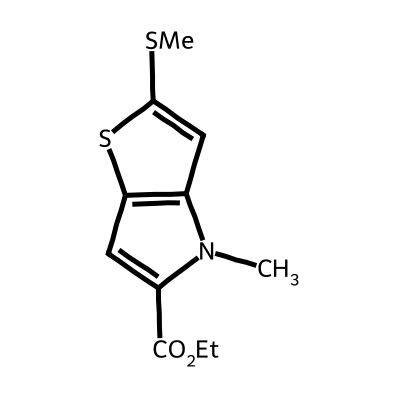 CCOC(=O)c1cc2sc(SC)cc2n1C